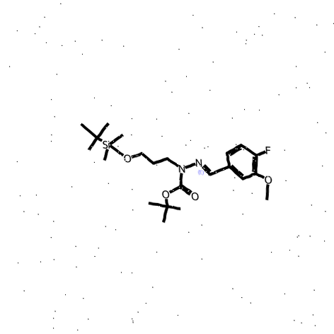 COc1cc(/C=N/N(CCCO[Si](C)(C)C(C)(C)C)C(=O)OC(C)(C)C)ccc1F